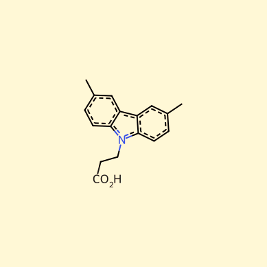 Cc1ccc2c(c1)c1cc(C)ccc1n2CCC(=O)O